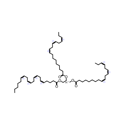 CC/C=C\C/C=C\C/C=C\CCCCCCCC(=O)OC[C@H](COC(=O)CCC/C=C\C/C=C\C/C=C\C/C=C\CCCCC)OC(=O)CCCCCCC/C=C\C/C=C\C/C=C\CC